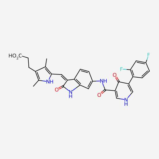 Cc1[nH]c(C=C2C(=O)Nc3cc(NC(=O)c4c[nH]cc(-c5ccc(F)cc5F)c4=O)ccc32)c(C)c1CCC(=O)O